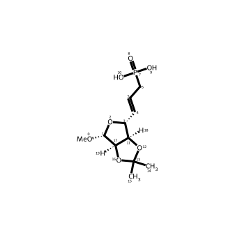 CO[C@@H]1O[C@H](/C=C/CP(=O)(O)O)[C@H]2OC(C)(C)O[C@@H]12